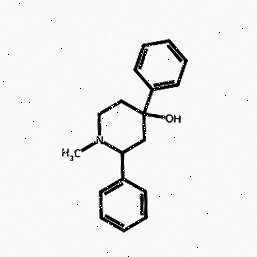 CN1CCC(O)(c2ccccc2)CC1c1ccccc1